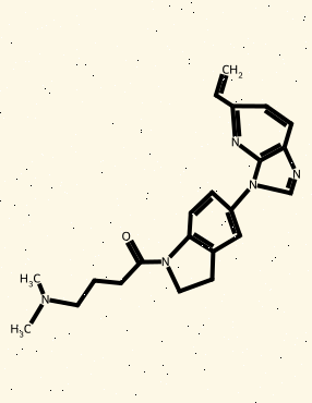 C=Cc1ccc2ncn(-c3ccc4c(c3)CCN4C(=O)CCCN(C)C)c2n1